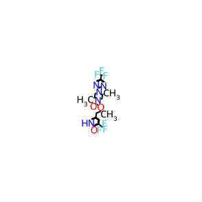 C[C@@H]1CN(c2ncc(C(F)(F)F)cn2)[C@H](C)CN1C(=O)O[C@@H](C)Cc1c[nH]c(=O)c(C(F)(F)F)c1